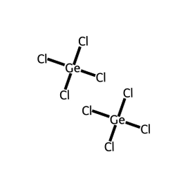 [Cl][Ge]([Cl])([Cl])[Cl].[Cl][Ge]([Cl])([Cl])[Cl]